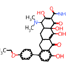 CCOc1ccc(-c2ccc(O)c3c2CC2CC4C(N(C)C)C(O)=C(C(N)=O)C(=O)C4(O)C(O)=C2C3=O)cc1